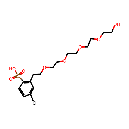 Cc1ccc(S(=O)(=O)O)c(CCOCCOCCOCCOCCO)c1